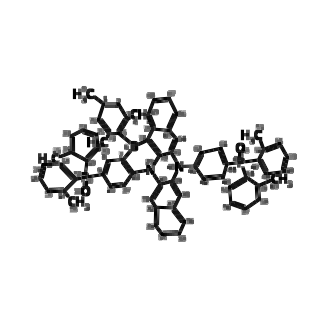 Cc1cc(C)c(B2c3cc(P(=O)(c4ccccc4C)c4ccccc4C)ccc3N3c4cc5ccccc5cc4N(c4ccc(P(=O)(c5ccccc5C)c5ccccc5C)cc4)c4cc5ccccc5c2c43)c(C)c1